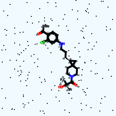 CNC(=O)c1ccc(NCCC[C@@H]2CC23CCN(C(=O)[C@](O)(C(C)C)C(F)(F)F)CC3)cc1Cl